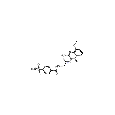 C=C1c2cccc(OC)c2N=C(N)N1/N=C(\C)CNC(=O)c1ccc(S(N)(=O)=O)cc1